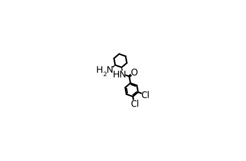 N[C@H]1CCCC[C@H]1NC(=O)c1ccc(Cl)c(Cl)c1